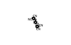 N#Cc1cc(C#N)cc(Oc2cccc(Oc3ccc(C#N)cc3C#N)c2)c1